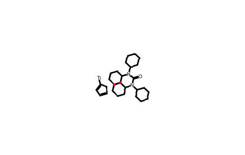 O=C(N(C1CCCCC1)C1CCCCC1)N(C1CCCCC1)C1CCCCC1.[Ti][C]1=CC=CC1